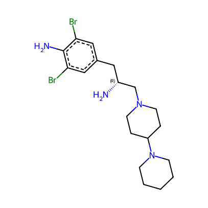 Nc1c(Br)cc(C[C@@H](N)CN2CCC(N3CCCCC3)CC2)cc1Br